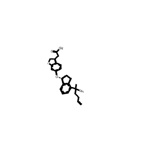 C=CCCC(C)(O)c1cccc2c1CC[C@H]2Oc1ccc2c(c1)OCC2CC(=O)O